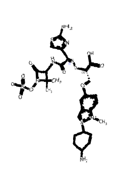 C[n+]1c2ccc(OC[C@H](O/N=C(\C(=O)NC3C(=O)N(OS(=O)(=O)[O-])C3(C)C)c3csc(N)n3)C(=O)O)cc2cn1C1CCC(N)CC1